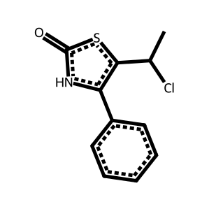 CC(Cl)c1sc(=O)[nH]c1-c1ccccc1